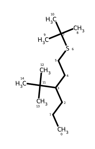 CCCC(CCSC(C)(C)C)C(C)(C)C